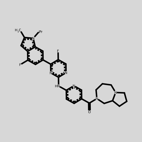 Cc1cc2c(F)cc(-c3nc(Nc4ccc(C(=O)N5CCCN6CCCC6C5)cn4)ncc3F)cc2n1C(C)C